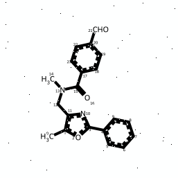 Cc1oc(-c2ccccc2)nc1CN(C)C(=O)c1ccc(C=O)cc1